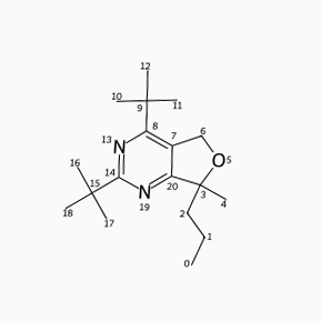 CCCC1(C)OCc2c(C(C)(C)C)nc(C(C)(C)C)nc21